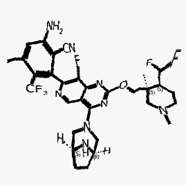 Cc1cc(N)c(C#N)c(-c2ncc3c(N4C[C@H]5CC[C@@H](C4)N5)nc(OC[C@]4(C)CN(C)CC[C@@H]4C(F)F)nc3c2F)c1C(F)(F)F